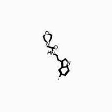 O=C(CN1CCOCC1)NCCC1=c2cc(I)ccc2=NC1